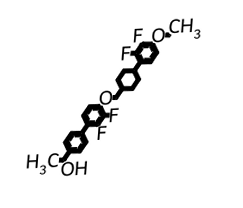 CCOc1ccc(C2CCC(COc3ccc(-c4ccc(C(C)O)cc4)c(F)c3F)CC2)c(F)c1F